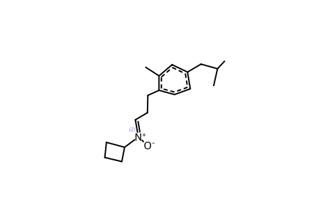 Cc1cc(CC(C)C)ccc1CC/C=[N+](\[O-])C1CCC1